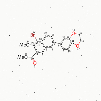 COC(=O)c1cc2cc(-c3ccc4c(c3)OCCO4)ccc2c(Br)c1OC